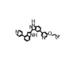 CN(C)CCOc1cncc(-c2ccc3[nH]nc(-c4cc5c(-c6ccncc6)cccc5[nH]4)c3c2)c1